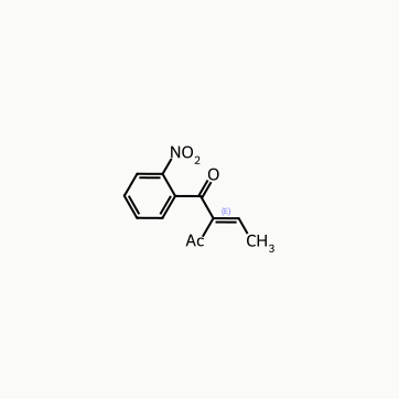 C/C=C(\C(C)=O)C(=O)c1ccccc1[N+](=O)[O-]